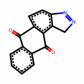 O=C1c2ccccc2C(=O)c2c1ccc1c2CN=N1